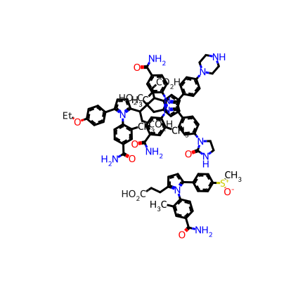 CCOc1ccc(-c2ccc(C(CC(=O)O)C(Cc3ccc(-c4ccc(N5CCNCC5)cc4)n3-c3ccc(C(N)=O)cc3C)(C(=O)O)C(CC(=O)O)c3ccc(-c4ccc(N5CCNC5=O)cc4)n3-c3ccc(C(N)=O)cc3C)n2-c2ccc(C(N)=O)cc2C)cc1.Cc1cc(C(N)=O)ccc1-n1c(CCC(=O)O)ccc1-c1ccc([S+](C)[O-])cc1